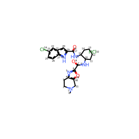 CN1CCc2nc(C(=O)NC3CCCCC3NC(=O)c3cc4cc(Cl)ccc4[nH]3)oc2C1.Cl